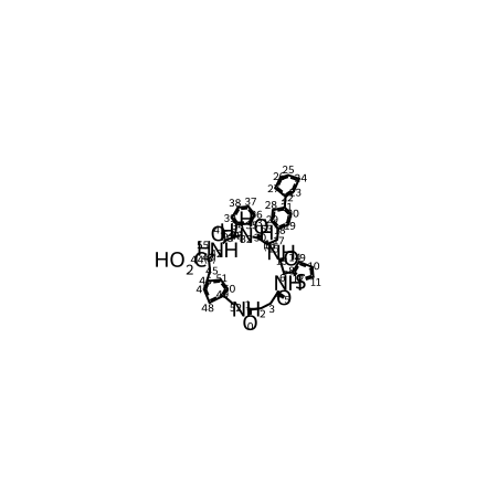 O=C1CCC(=O)NC(c2cccs2)C(=O)N[C@@H](Cc2ccc(-c3ccccc3)cc2)C(=O)N[C@H](c2ccccc2)C(=O)N[C@H](C(=O)O)Cc2ccc(cc2)N1